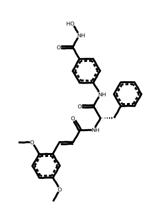 COc1ccc(OC)c(/C=C/C(=O)N[C@@H](Cc2ccccc2)C(=O)Nc2ccc(C(=O)NO)cc2)c1